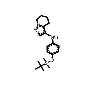 CC(C)(C)[Si](C)(C)Oc1ccc(Nc2cnn3c2CCCC3)cc1